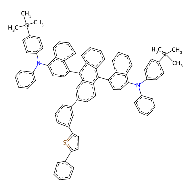 C[Si](C)(C)c1ccc(N(c2ccccc2)c2ccc(-c3c4ccccc4c(-c4ccc(N(c5ccccc5)c5ccc([Si](C)(C)C)cc5)c5ccccc45)c4cc(-c5cccc(-c6ccc(-c7ccccc7)s6)c5)ccc34)c3ccccc23)cc1